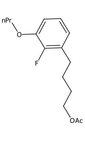 CCCOc1cccc(CCCCOC(C)=O)c1F